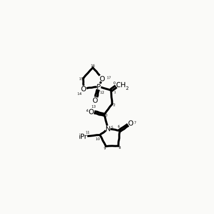 C=C(CC(=O)N1C(=O)CCC1C(C)C)P1(=O)OCCO1